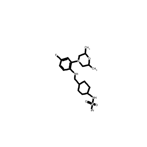 CC1CN(c2cc(F)ccc2NCC2CCC(NS(=O)(=O)C(C)C)CC2)CC(C)O1